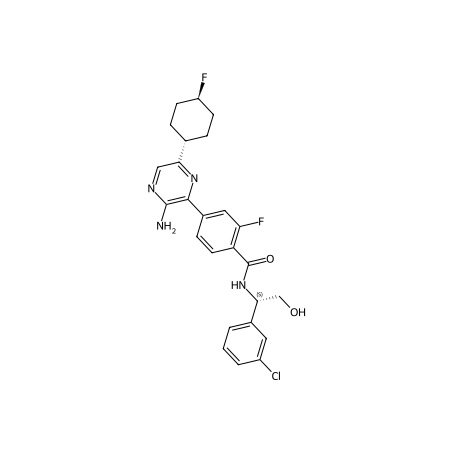 Nc1ncc([C@H]2CC[C@H](F)CC2)nc1-c1ccc(C(=O)N[C@H](CO)c2cccc(Cl)c2)c(F)c1